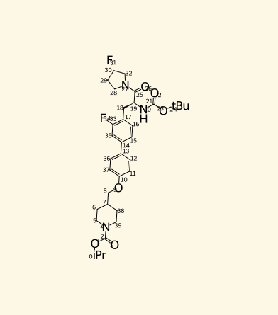 CC(C)OC(=O)N1CCC(COc2ccc(-c3ccc(C[C@H](NC(=O)OC(C)(C)C)C(=O)N4CC[C@H](F)C4)c(F)c3)cc2)CC1